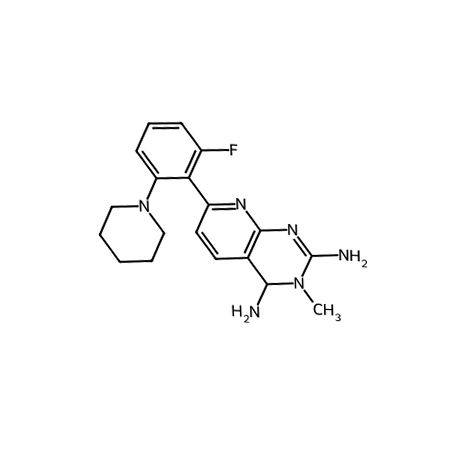 CN1C(N)=Nc2nc(-c3c(F)cccc3N3CCCCC3)ccc2C1N